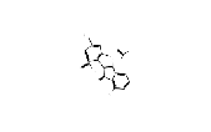 CCC(=O)N[C@@]12C(=O)c3c([N+](=O)[O-])cccc3[C@]1(OC(=O)CC)Oc1cc(C(C)C)ccc12